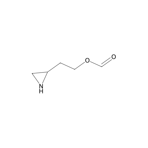 O=COCCC1CN1